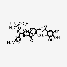 CC(C)(O/N=C(\C(=O)NC1C(=O)N2C(C(=O)O)=C(CNC(=O)c3cc(O)c(O)c(Br)c3)CS[C@@H]12)c1csc(N)n1)C(=O)O